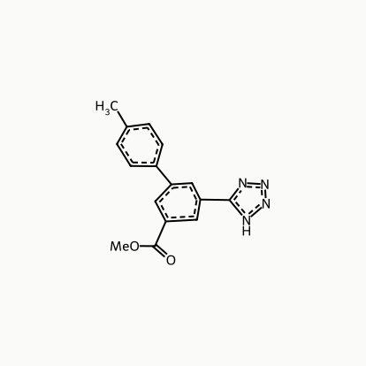 COC(=O)c1cc(-c2ccc(C)cc2)cc(-c2nnn[nH]2)c1